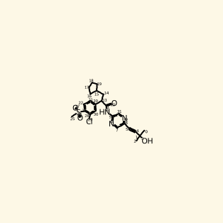 CC(C)(O)C#Cc1cnc(NC(=O)C(CC2CCCC2)c2ccc(S(C)(=O)=O)c(Cl)c2)cn1